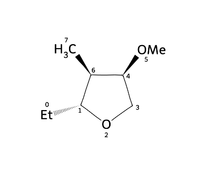 CC[C@H]1OC[C@H](OC)[C@@H]1C